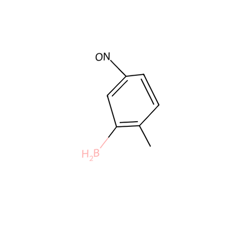 Bc1cc(N=O)ccc1C